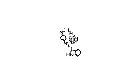 COc1ccc(CN(CCc2c[nH]c3ccccc23)C(=O)CN)cc1.Cl.O